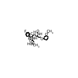 CCOC1=CC(OCCC(CNC(C)C(NC(=O)CN(C)O)C(=N)c2ccc(F)cc2)NC=O)=CC=CC1